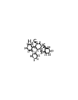 Cc1cc2c(c(-c3ccccc3)c1-c1ccccc1)Sc1ccccc1S2